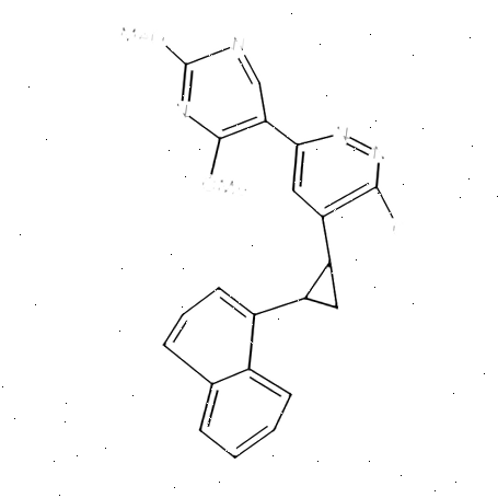 COc1ncc(-c2cc(C3CC3c3cccc4ccccc34)c(Cl)nn2)c(OC)n1